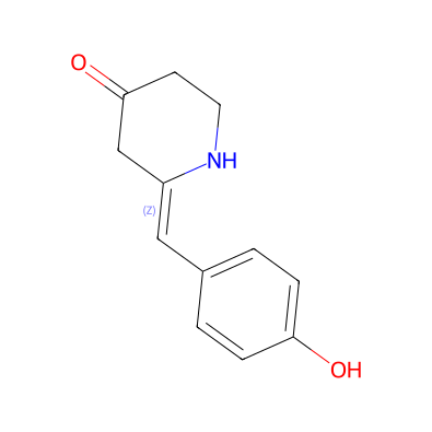 O=C1CCN/C(=C\c2ccc(O)cc2)C1